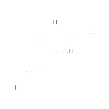 CC(=O)[C@@H](C)NC(=O)CCC(C)C